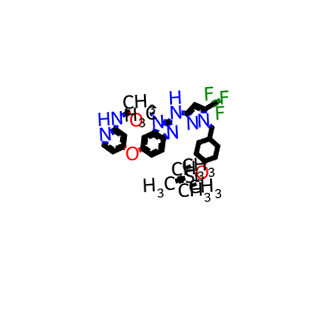 CC(=O)Nc1cc(Oc2ccc3nc(Nc4cc(C(F)(F)F)n(CC5CCC(O[Si](C)(C)C(C)(C)C)CC5)n4)n(C)c3c2)ccn1